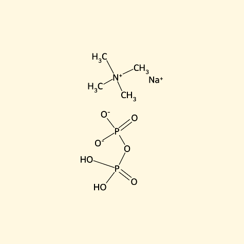 C[N+](C)(C)C.O=P([O-])([O-])OP(=O)(O)O.[Na+]